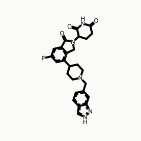 O=C1CCC(N2Cc3c(cc(F)cc3C3CCN(Cc4ccc5c[nH]nc5c4)CC3)C2=O)C(=O)N1